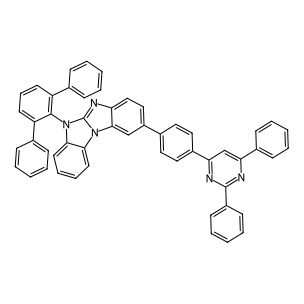 c1ccc(-c2cc(-c3ccc(-c4ccc5nc6n(-c7c(-c8ccccc8)cccc7-c7ccccc7)c7ccccc7n6c5c4)cc3)nc(-c3ccccc3)n2)cc1